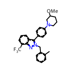 COC1CCCN(c2ccc(-c3c4cccc(C(F)(F)F)c4nn3Cc3ccccc3C)cc2)C1